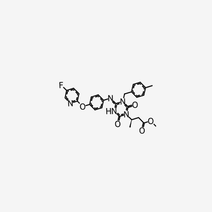 COC(=O)C[C@@H](C)n1c(=O)[nH]/c(=N\c2ccc(Oc3ccc(F)cn3)cc2)n(Cc2ccc(C)cc2)c1=O